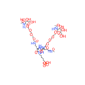 COP(=O)(O)OCCCCCCNC(=O)[C@H](CCCCNC(=O)COCCOCCOCCOC1OC(CO)C(O)C(O)C1NC(C)=O)NC(=O)[C@H](CCCCNC(C)=O)NC(=O)COCCOCCOCCOC1OC(CO)C(O)C(O)C1NC(C)=O